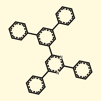 c1ccc(-c2cc(-c3ccccc3)cc(-c3cc(-c4ccccc4)nc(-c4ccccc4)n3)c2)cc1